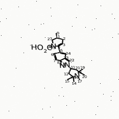 C[C@H]1CC=C(c2ccc3nn(C4CC(C)(C)N(C)C(C)(C)C4)cc3c2)N(C(=O)O)C1